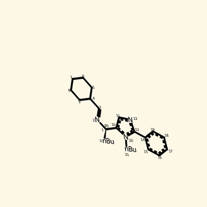 CCCC[C@@H](N=CC1CCCCC1)c1cnc(-c2ccccc2)n1CCCC